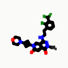 Cn1nc(NCCc2cccc(C(F)F)c2F)c2cn(C34CC(N5CCOCC5)(C3)C4)c(=O)cc2c1=O